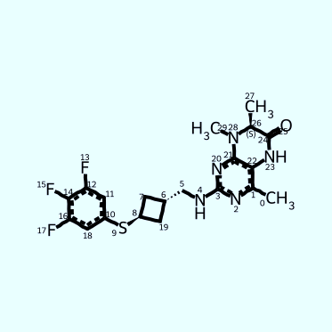 Cc1nc(NC[C@H]2C[C@H](Sc3cc(F)c(F)c(F)c3)C2)nc2c1NC(=O)[C@H](C)N2C